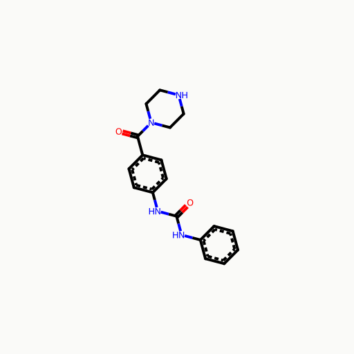 O=C(Nc1ccccc1)Nc1ccc(C(=O)N2CCNCC2)cc1